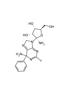 NC1(c2ccccc2)N=C(I)N=C2C1=NCN2[C@]1(N)O[C@H](CO)[C@@H](O)[C@H]1O